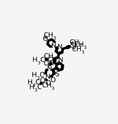 COC1CCN(c2cc(-c3ccc4c(ccc5sc6c(c54)N(C(=O)OC(C)(C)C)C[C@@H](C)N(C(=O)OC(C)(C)C)C6=O)n3)cc(C#C[Si](C)(C)C)n2)CC1